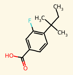 CCC(C)(C)c1ccc(C(=O)O)cc1F